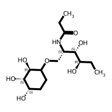 CCC(=O)N[C@@H](COC1CC[C@H](O)[C@H](O)[C@H]1O)[C@H](O)[C@H](O)CC